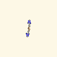 C1=C(c2ccc3cc(-c4cccc5c4c4ccccc4n5-c4ccccc4)ccc3c2)SC(c2ccc3cc(-c4cccc5c4c4ccccc4n5-c4ccccc4)ccc3c2)C1